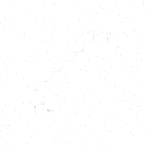 CC(C)[13CH2][15N]1CCC[13CH]1C(=O)NC[13CH2][13C](=O)[15NH][13CH2][13CH2][13C](=O)ON1C(=O)CCC1=O